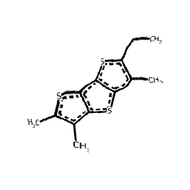 CCc1sc2c(sc3c(C)c(C)sc32)c1C